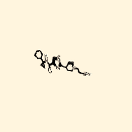 CC(C)CCN1CCC(c2nc(C(=O)NC3(C4CCCCC4)CC3)cs2)CC1